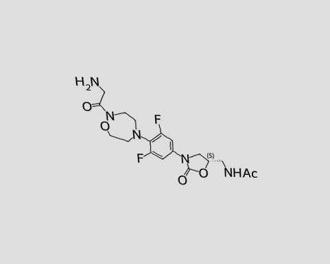 CC(=O)NC[C@H]1CN(c2cc(F)c(N3CCON(C(=O)CN)CC3)c(F)c2)C(=O)O1